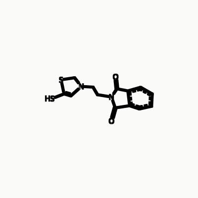 O=C1c2ccccc2C(=O)N1CCN1C=C(S)SC1